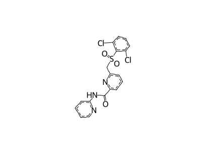 O=C(Nc1ccccn1)c1cccc(CS(=O)(=O)c2c(Cl)cccc2Cl)n1